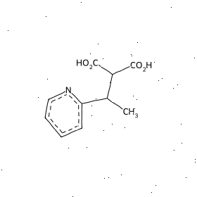 CC(c1ccccn1)C(C(=O)O)C(=O)O